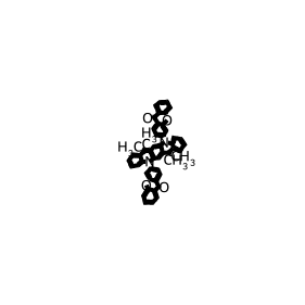 CC1(C)c2ccccc2N(c2ccc3c(=O)c4ccccc4oc3c2)c2cc3c(cc21)N(c1ccc2c(=O)c4ccccc4oc2c1)c1ccccc1C3(C)C